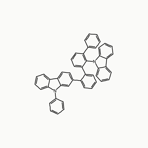 c1ccc(-c2cccc(-c3ccccc3-c3ccc4c5ccccc5n(-c5ccccc5)c4c3)c2-n2c3ccccc3c3ccccc32)cc1